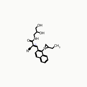 CCC1CN1c1c(/C=C(\C#N)C(=O)NCC(O)CO)ccc2ccccc12